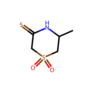 CC1CS(=O)(=O)CC(=S)N1